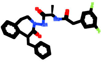 C[C@H](NC(=O)Cc1cc(F)cc(F)c1)C(=O)NN1CCc2ccccc2C(Cc2ccccc2)C1=O